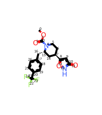 COC(=O)N1CC[C@@H](c2cc(=O)[nH]o2)C[C@@H]1Cc1ccc(C(F)(F)F)cc1